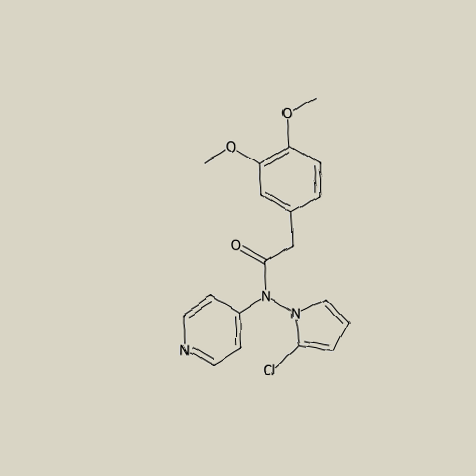 COc1ccc(CC(=O)N(c2ccncc2)n2cccc2Cl)cc1OC